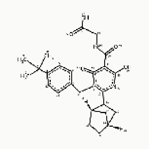 CC(C)(C)c1ccc(Cn2c(C3C[C@@H]4CC[C@H]3C4)nc(O)c(C(=O)NCC(=O)O)c2=O)cc1